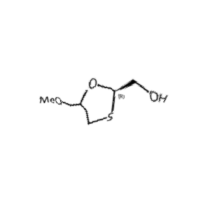 COC1CS[C@H](CO)O1